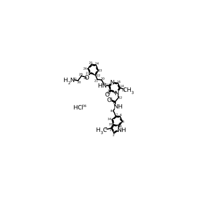 Cc1c[nH]c2ccc(CNC(=O)Cn3c(C)cnc(NCCc4ccccc4OCCN)c3=O)cc12.Cl